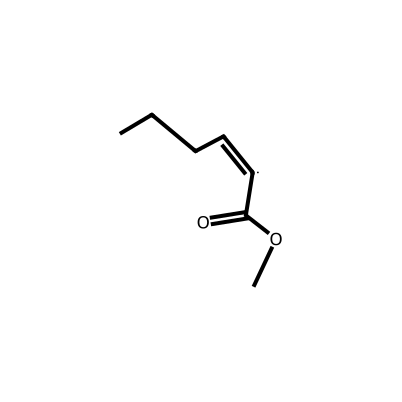 CCC/C=[C]\C(=O)OC